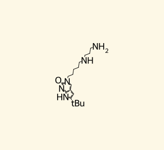 CC(C)(C)c1cc2cn(CCCCCNCCCN)c(=O)nc2[nH]1